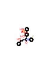 O=C1[C@H](CC[C@H](O)c2ccccc2)[C@@H](c2ccc(-c3ccccc3P(=O)(O)O)cc2O)N1c1cccc(F)c1